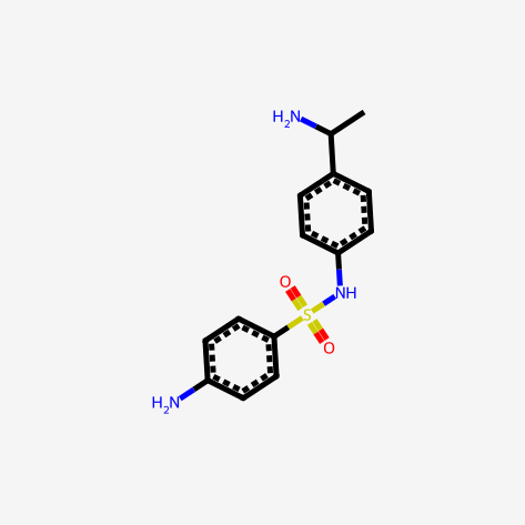 CC(N)c1ccc(NS(=O)(=O)c2ccc(N)cc2)cc1